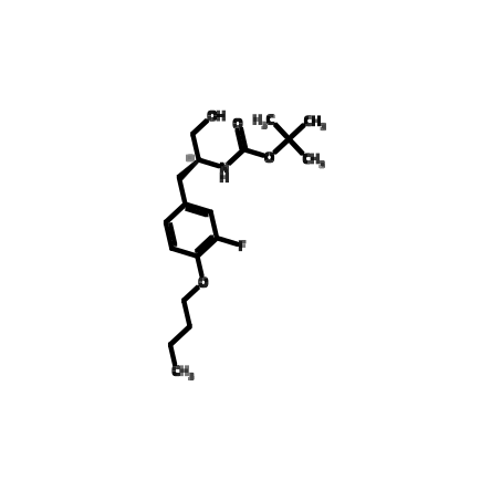 CCCCOc1ccc(C[C@@H](CO)NC(=O)OC(C)(C)C)cc1F